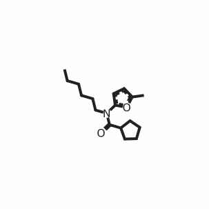 CCCCCCN(C(=O)C1CCCC1)c1ccc(C)o1